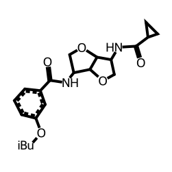 CCC(C)Oc1cccc(C(=O)NC2COC3C(NC(=O)C4CC4)COC23)c1